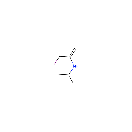 C=C(CI)NC(C)C